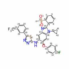 CS(=O)(=O)c1ccccc1-c1nc2cc(Nc3nnc(-c4cccc(C(F)(F)F)c4)s3)c(Oc3ccc(F)cc3)cc2n1C1CC1